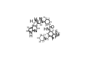 Cc1ccc(C(=O)Nc2cc(CN3CCCCC3)c(F)c(C(F)(F)F)c2)cc1N(N)/C=C(\N)c1cnc2[nH]ccc2c1